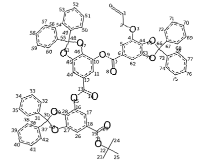 C=CCOc1cc(C(=O)Oc2cc(C(=O)Oc3cc(C(=O)OC(C)(C)C)cc4c3OC(c3ccccc3)(c3ccccc3)O4)cc3c2OC(c2ccccc2)(c2ccccc2)O3)cc2c1OC(c1ccccc1)(c1ccccc1)O2